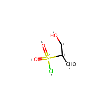 O=CC(CO)S(=O)(=O)Cl